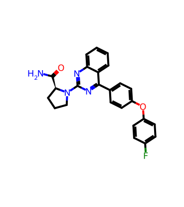 NC(=O)[C@@H]1CCCN1c1nc(-c2ccc(Oc3ccc(F)cc3)cc2)c2ccccc2n1